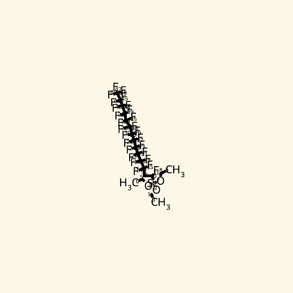 CCO[Si](OCC)(OCC)C(F)CC(F)(F)C(F)(F)C(F)(F)C(F)(F)C(F)(F)C(F)(F)C(F)(F)C(F)(F)C(F)(F)C(F)(F)C(F)(F)C(F)(F)F